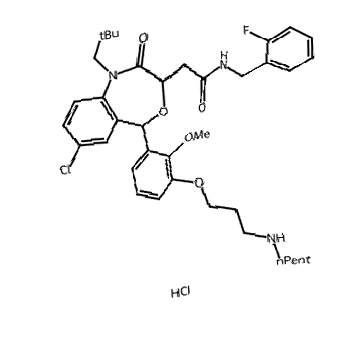 CCCCCNCCCOc1cccc(C2OC(CC(=O)NCc3ccccc3F)C(=O)N(CC(C)(C)C)c3ccc(Cl)cc32)c1OC.Cl